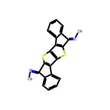 N#C/N=c1\c2ccccc2c2c1sc1c2sc2/c(=N/C#N)c3ccccc3c21